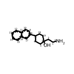 NCCC1(O)CCC(c2ccc3ccccc3c2)CC1